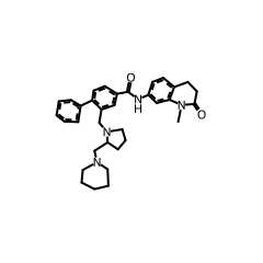 CN1C(=O)CCc2ccc(NC(=O)c3ccc(-c4ccccc4)c(CN4CCCC4CN4CCCCC4)c3)cc21